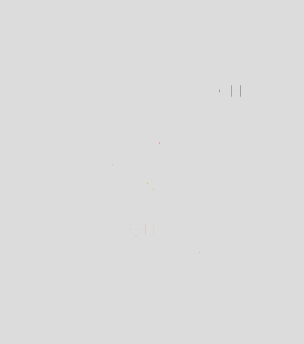 CCOS(O)(c1ccccc1)c1ccccc1